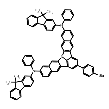 CC(C)(C)c1ccc(-c2cc3c4cc5ccc(N(c6ccccc6)c6ccc7c(c6)C(C)(C)c6ccccc6-7)cc5cc4n4c5cc6cc(N(c7ccccc7)c7ccc8c(c7)C(C)(C)c7ccccc7-8)ccc6cc5c(c2)c34)cc1